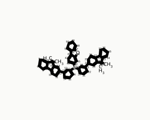 CC1(C)c2ccccc2-c2ccc(-c3cccc(N(c4cccc(-c5ccc6c(c5)C(C)(C)c5ccccc5-6)c4)c4ccc5c(c4)oc4ccccc45)c3)cc21